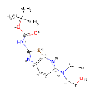 CC(C)(C)OC(=O)Nc1nc2ccc(N3CCOCC3)nc2s1